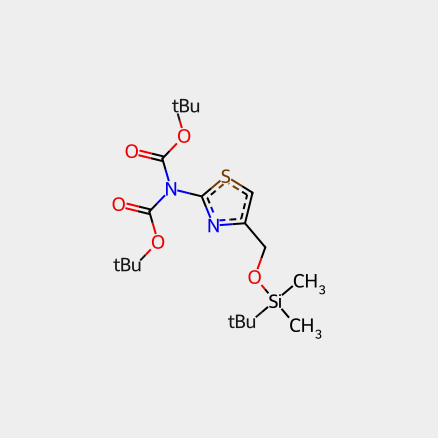 CC(C)(C)OC(=O)N(C(=O)OC(C)(C)C)c1nc(CO[Si](C)(C)C(C)(C)C)cs1